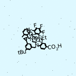 CCOc1cc(C(=O)O)ccc1N(Cc1cc(C2CC2)cc(C(C)(C)C)c1)C(=O)CN(Cc1cnccc1C)S(=O)(=O)c1c(F)c(F)c(F)c(F)c1Br